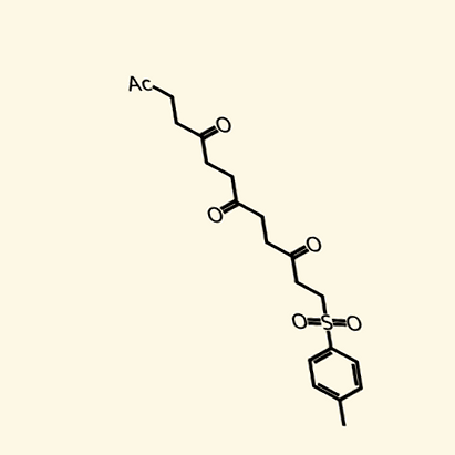 CC(=O)CCC(=O)CCC(=O)CCC(=O)CCS(=O)(=O)c1ccc(C)cc1